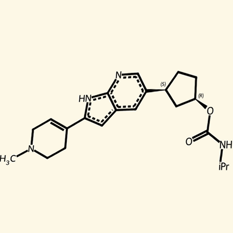 CC(C)NC(=O)O[C@@H]1CC[C@H](c2cnc3[nH]c(C4=CCN(C)CC4)cc3c2)C1